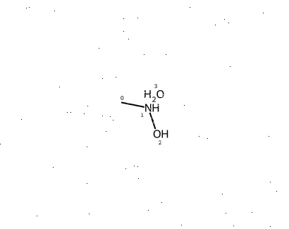 CNO.O